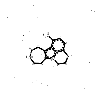 FC(F)(F)c1ccc2c3c1c1c(n3CCS2)CCNCC1